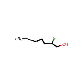 CCCCCCCCC(Br)CO